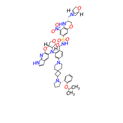 CC(C)Oc1ccccc1[C@@H]1CCCN1C1CC2(CCN(c3ccc(C(=O)NS(=O)(=O)c4cc5c(c([N+](=O)[O-])c4)N[C@H](CN4C[C@H]6C[C@@H]4CO6)CO5)c(N4c5cc6cc[nH]c6nc5O[C@@H]5COC[C@H]54)c3)CC2)C1